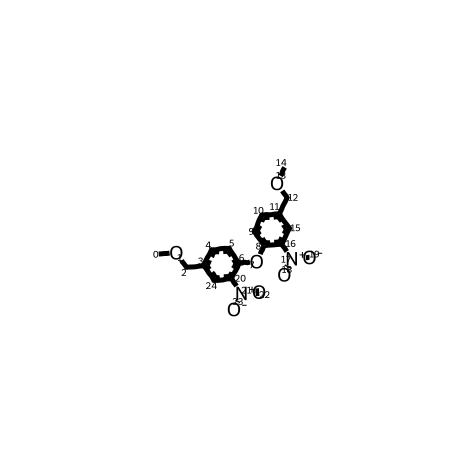 COCc1ccc(Oc2ccc(COC)cc2[N+](=O)[O-])c([N+](=O)[O-])c1